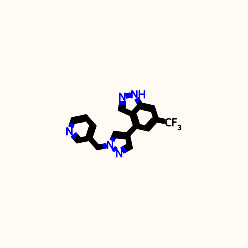 FC(F)(F)c1cc(-c2cnn(Cc3cccnc3)c2)c2cn[nH]c2c1